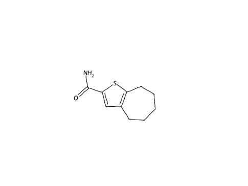 NC(=O)c1cc2c(s1)CCCCC2